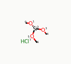 CO[Si](OC)OC.Cl